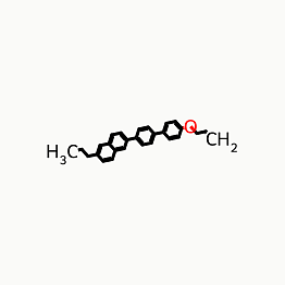 C=CCOc1ccc(-c2ccc(-c3ccc4cc(CCC)ccc4c3)cc2)cc1